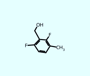 Cc1ccc(F)c(CO)c1F